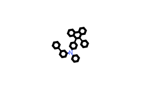 c1ccc(-c2cccc(N(c3ccccc3)c3ccc(-c4c(-c5ccccc5)c5ccccc5c5ccccc45)cc3)c2)cc1